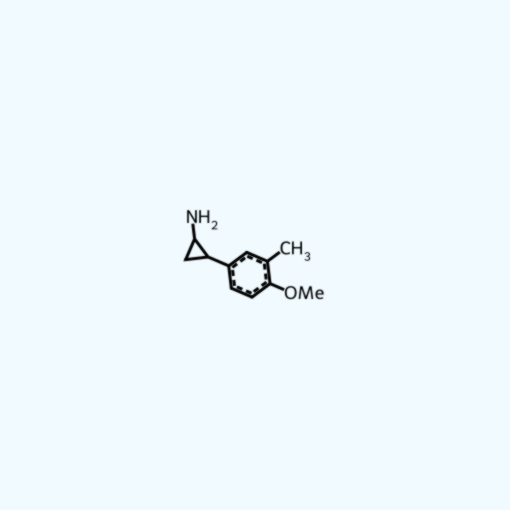 COc1ccc(C2CC2N)cc1C